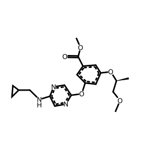 COC[C@H](C)Oc1cc(Oc2cnc(NCC3CC3)cn2)cc(C(=O)OC)c1